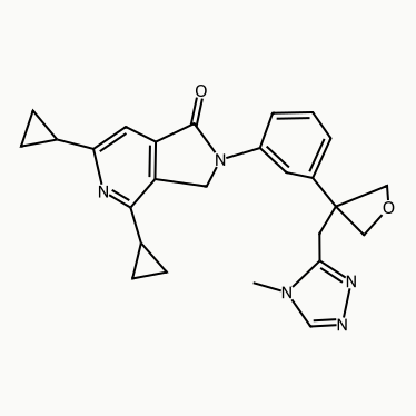 Cn1cnnc1CC1(c2cccc(N3Cc4c(cc(C5CC5)nc4C4CC4)C3=O)c2)COC1